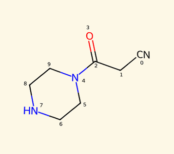 N#CCC(=O)N1CCNCC1